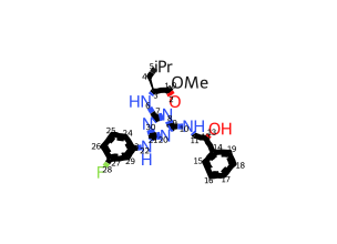 COC(=O)[C@H](CC(C)C)Nc1nc(NCC(O)c2ccccc2)nc(Nc2cccc(F)c2)n1